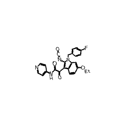 CCOc1ccc2c(C(=O)C(=O)Nc3ccncc3)c(N=C=O)n(Cc3ccc(F)cc3)c2c1